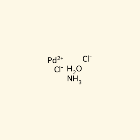 N.O.[Cl-].[Cl-].[Pd+2]